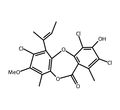 CC=C(C)c1c(Cl)c(OC)c(C)c2c1Oc1c(Cl)c(O)c(Cl)c(C)c1C(=O)O2